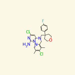 Cc1cnc(CN(CC2(c3ccc(F)cc3)CCOCC2)c2cc(Cl)nc(N)n2)c(C)c1Cl